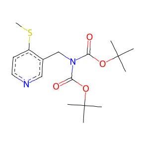 CSc1ccncc1CN(C(=O)OC(C)(C)C)C(=O)OC(C)(C)C